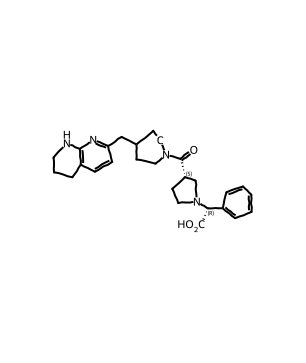 O=C(O)[C@@H](c1ccccc1)N1CC[C@H](C(=O)N2CCC(Cc3ccc4c(n3)NCCC4)CC2)C1